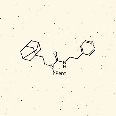 CCCCCN(CCC12CC3CC(CC(C3)C1)C2)C(=O)NCCc1ccncc1